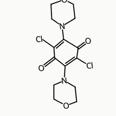 O=C1C(Cl)=C(N2CCOCC2)C(=O)C(Cl)=C1N1CCOCC1